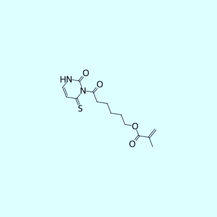 C=C(C)C(=O)OCCCCCC(=O)n1c(=S)cc[nH]c1=O